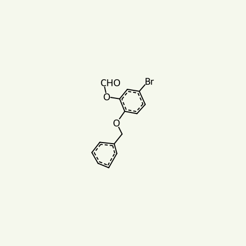 O=COc1cc(Br)ccc1OCc1ccccc1